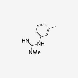 CNC(=N)Nc1cccc(C)c1